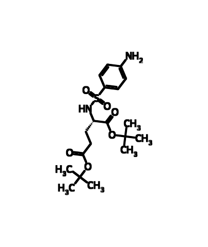 CC(C)(C)OC(=O)CC[C@H](NS(=O)(=O)c1ccc(N)cc1)C(=O)OC(C)(C)C